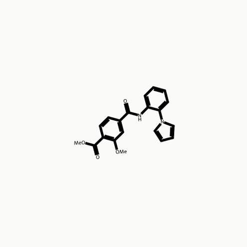 COC(=O)c1ccc(C(=O)Nc2ccccc2-n2cccc2)cc1OC